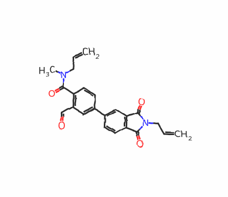 C=CCN(C)C(=O)c1ccc(-c2ccc3c(c2)C(=O)N(CC=C)C3=O)cc1C=O